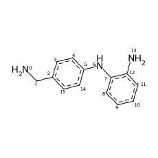 NCc1ccc(Nc2ccc[c]c2N)cc1